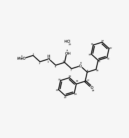 COCCNCC(O)COC(Cc1ccccc1)C(=O)c1ccccc1.Cl